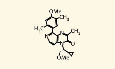 COC[C@@H](C1CC1)n1c(=O)c(C)nc2c(-c3cc(C)c(OC)cc3C)nccc21